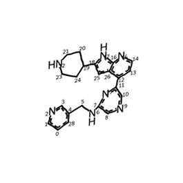 c1cncc(CNc2cncc(-c3ccnc4[nH]c(C5CCNCC5)cc34)n2)c1